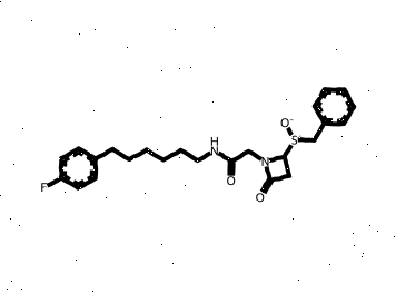 O=C(CN1C(=O)CC1[S+]([O-])Cc1ccccc1)NCCCCCCc1ccc(F)cc1